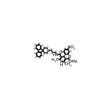 COC(=O)C1=C(C)NC(C)=C(C(=O)NCCCN2CCC(c3ccccc3)(c3ccccc3)CC2)[C@H]1c1ccc([N+](=O)[O-])cc1